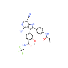 C=CC(=O)Nc1ccc(-c2[nH]c3c(C#N)cnc(N)c3c2-c2ccc(C(=O)NCC(F)(F)F)c(OC)c2)cc1